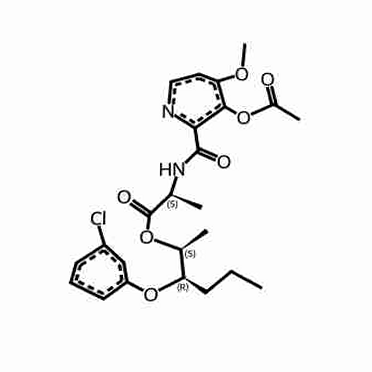 CCC[C@@H](Oc1cccc(Cl)c1)[C@H](C)OC(=O)[C@H](C)NC(=O)c1nccc(OC)c1OC(C)=O